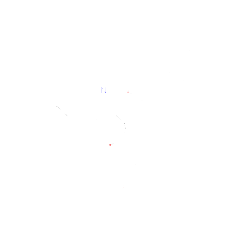 c1cc(-c2ccc3oc4ccccc4c3c2)cc(N(c2ccccc2-c2cccc3c2ccc2ccccc23)c2ccccc2-c2cccc3cccc(C4CCCCC4)c23)c1